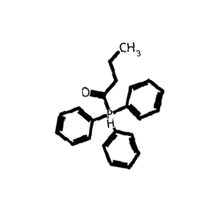 CCCC(=O)[PH](c1ccccc1)(c1ccccc1)c1ccccc1